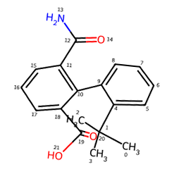 CC(C)(C)c1ccccc1-c1c(C(N)=O)cccc1C(=O)O